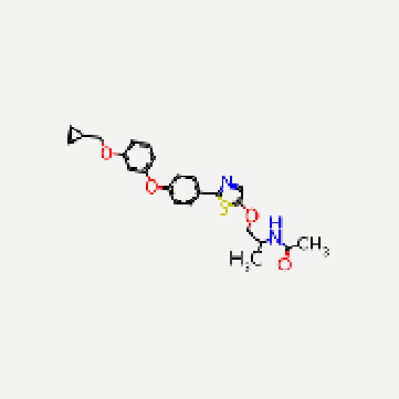 CC(=O)NC(C)COc1cnc(-c2ccc(Oc3cccc(OCC4CC4)c3)cc2)s1